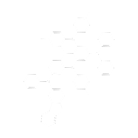 Cc1ccc(N2c3ccc(C)cc3B3c4ccc(N(c5ccccc5)c5ccc6oc7ccccc7c6c5)cc4N(c4ccc(C)cc4)c4cc(N(c5ccccc5)c5ccccc5)cc2c43)cc1